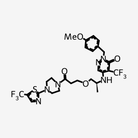 COc1ccc(Cn2ncc(N[C@@H](C)COCCC(=O)N3CCN(c4ncc(C(F)(F)F)s4)CC3)c(C(F)(F)F)c2=O)cc1